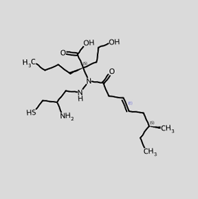 CCCC[C@](CCO)(C(=O)O)N(NCC(N)CS)C(=O)C/C=C/C[C@@H](C)CC